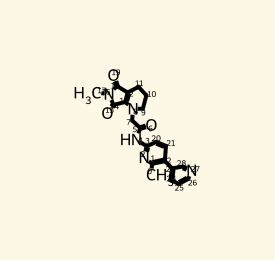 Cc1nc(NC(=O)CN2CCCC3=C2C(=O)N(C)C3=O)ccc1-c1cccnc1